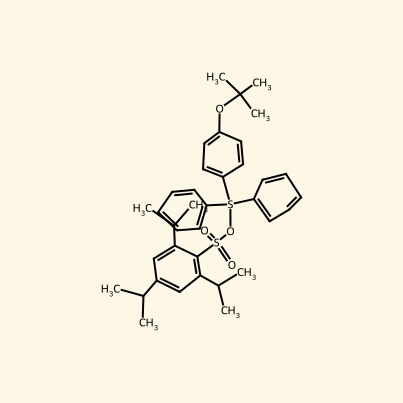 CC(C)c1cc(C(C)C)c(S(=O)(=O)OS(c2ccccc2)(c2ccccc2)c2ccc(OC(C)(C)C)cc2)c(C(C)C)c1